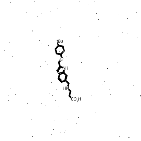 CC(C)(C)C1CCC(OCc2cc3ccc(CNCCC(=O)O)cc3[nH]2)CC1